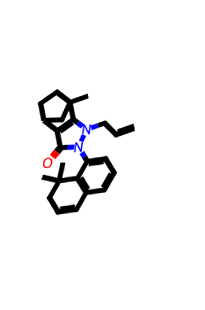 C=CCn1c2c(c(=O)n1-c1cccc3c1C(C)(C)CC=C3)C1CCC2(C)C1